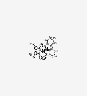 CCOC(=O)C(C(=O)OCC)N1C([O])c2ccccc2N1Cc1ccccc1